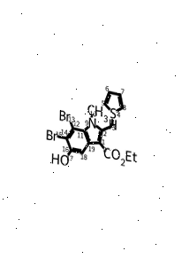 CCOC(=O)c1c(C[SH]2C=CC=C2)n(C)c2c(Br)c(Br)c(O)cc12